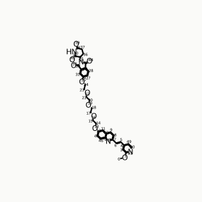 COc1cc(/C=C/c2ccc3cc(OCCOCCOCCOCCOc4ccc5c(c4)C(=O)N(C4CCC(=O)NC4=O)C5=O)ccc3n2)ccn1